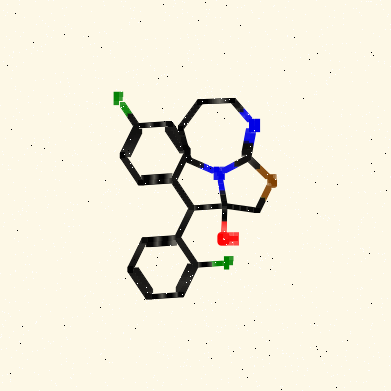 OC1(C(c2ccc(F)cc2)c2ccccc2F)CSC2=NCCCCN21